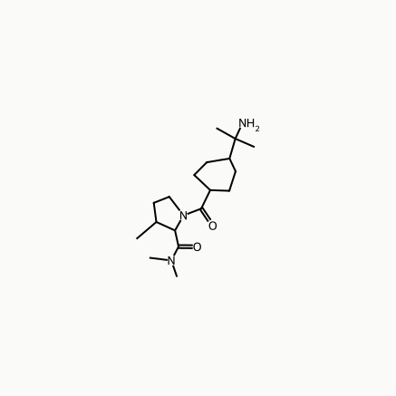 CC1CCN(C(=O)C2CCC(C(C)(C)N)CC2)C1C(=O)N(C)C